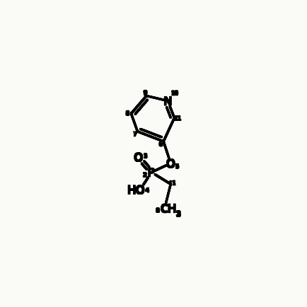 C[CH]P(=O)(O)Oc1cccnc1